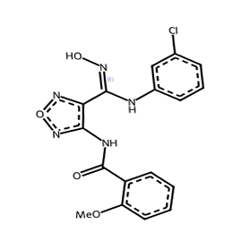 COc1ccccc1C(=O)Nc1nonc1/C(=N\O)Nc1cccc(Cl)c1